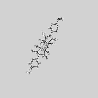 Nc1ccc(N2C(=O)[C@@H]3C4C=CC([C@H]5C(=O)N(c6ccc(N)cc6)C(=O)[C@@H]45)[C@@H]3C2=O)cc1